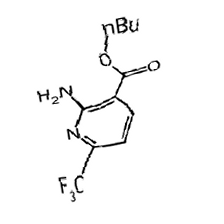 CCCCOC(=O)c1ccc(C(F)(F)F)nc1N